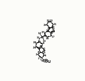 CC(C)(C)c1ccc2c(c1)sc1cc(CC(C)(C)c3ccc4sc5ccccc5c4c3)ccc12